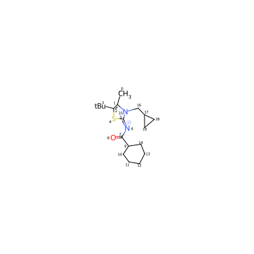 Cc1c(C(C)(C)C)s/c(=N\C(=O)C2CCCCC2)n1CC1CC1